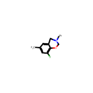 CC(C)N1COc2c(F)cc(C(F)(F)F)cc2C1